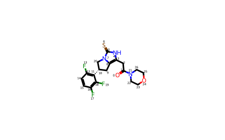 O=C(Cc1[nH]c(=S)n2c1C[C@H](c1c(F)ccc(F)c1F)C2)N1CCOCC1